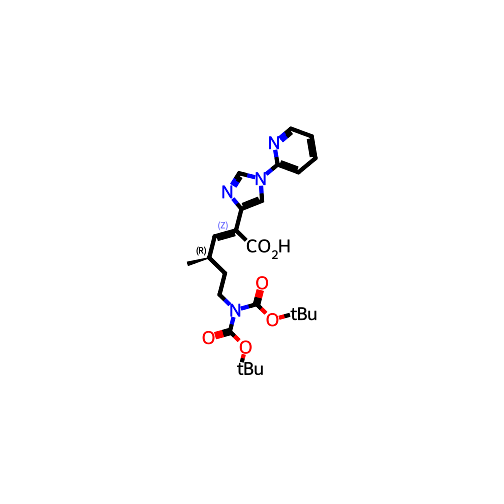 C[C@@H](/C=C(\C(=O)O)c1cn(-c2ccccn2)cn1)CCN(C(=O)OC(C)(C)C)C(=O)OC(C)(C)C